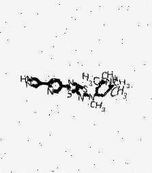 CN(c1nc2sc(-c3ccc(-c4cn[nH]c4)nc3)nc2s1)C1CC(C)(C)NC(C)(C)C1